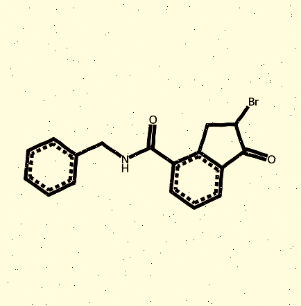 O=C(NCc1ccccc1)c1cccc2c1CC(Br)C2=O